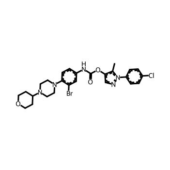 Cc1c(OC(=O)Nc2ccc(N3CCN(C4CCOCC4)CC3)c(Br)c2)cnn1-c1ccc(Cl)cc1